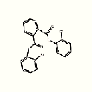 O=C(Oc1ccccc1Br)c1ccccc1C(=O)Oc1ccccc1Br